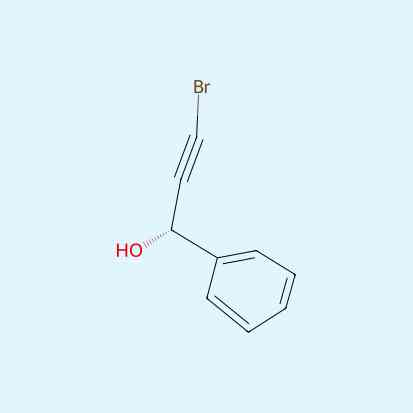 O[C@H](C#CBr)c1ccccc1